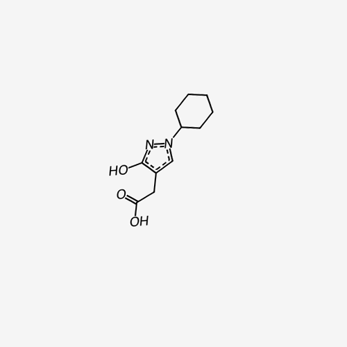 O=C(O)Cc1cn(C2CCCCC2)nc1O